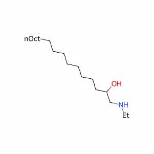 CCCCCCCCCCCCCCCCC(O)CNCC